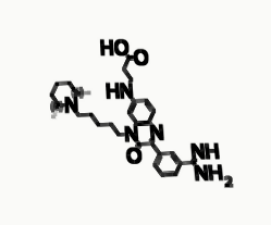 C[C@@H]1CCC[C@H](C)N1CCCCCn1c(=O)c(-c2cccc(C(=N)N)c2)nc2ccc(NCCC(=O)O)cc21